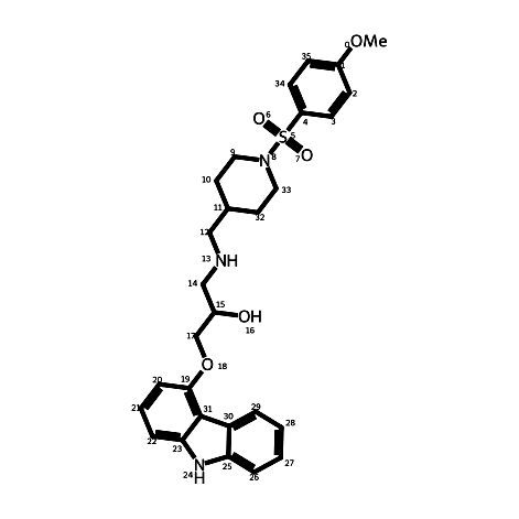 COc1ccc(S(=O)(=O)N2CCC(CNCC(O)COc3cccc4[nH]c5ccccc5c34)CC2)cc1